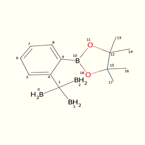 BC(B)(B)c1ccccc1B1OC(C)(C)C(C)(C)O1